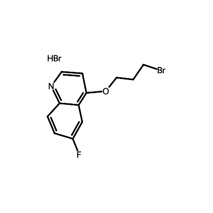 Br.Fc1ccc2nccc(OCCCBr)c2c1